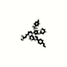 CCCC1CCC([C@H](/C=C/[C@@H]2[C@@H](C/C=C\CCCC(=O)OC)[C@H](OS(=O)(=O)c3ccc(C)cc3)C[C@H]2OC2CCCCO2)OC2CCCCO2)CC1